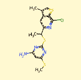 CSc1cc(N)nc(SC(C)c2cc3c(C)csc3c(Cl)n2)n1